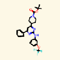 CC(C)(C)OC(=O)N1CCC(c2cc(-c3ccccc3)nc(Nc3cccc(OC(F)(F)F)c3)n2)CC1